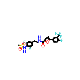 CS(=O)(=O)Nc1c(F)cc(CCNC(=O)c2ccc(-c3ccc(F)c(C(F)(F)F)c3)o2)cc1F